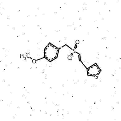 COc1ccc(CS(=O)(=O)C=Cc2ccsc2)cc1